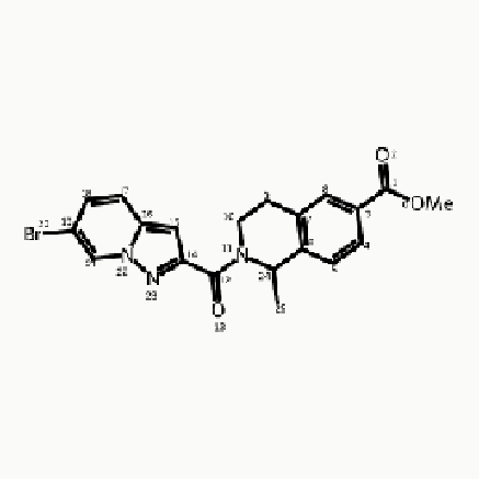 COC(=O)c1ccc2c(c1)CCN(C(=O)c1cc3ccc(Br)cn3n1)C2C